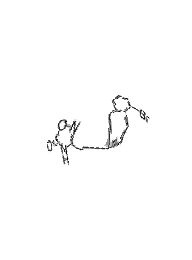 O=S1NC(Cc2ccc3c(Br)cccc3c2)=NO1